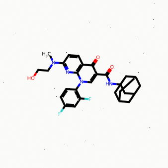 CN(CCO)c1ccc2c(=O)c(C(=O)NC34CC5CC(CC(C5)C3)C4)cn(-c3ccc(F)cc3F)c2n1